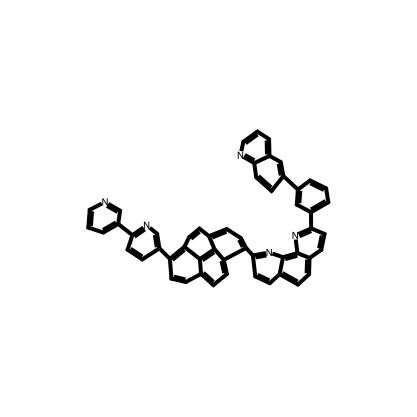 c1cncc(-c2ccc(-c3ccc4ccc5c(-c6ccc7ccc8ccc(-c9cccc(-c%10ccc%11ncccc%11c%10)c9)nc8c7n6)ccc6ccc3c4c65)cn2)c1